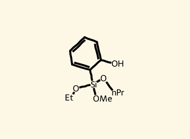 CCCO[Si](OC)(OCC)c1ccccc1O